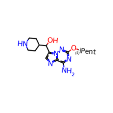 CCC[C@H](C)Oc1nc(N)c2ncc(C(O)C3CCNCC3)n2n1